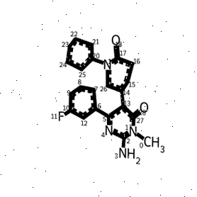 Cn1c(N)nc(-c2cccc(F)c2)c(-c2ccc(=O)n(-c3ccccc3)c2)c1=O